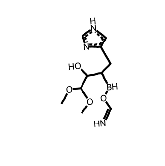 COC(OC)C(O)C(BOC=N)Cc1c[nH]cn1